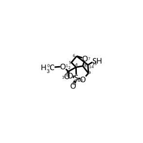 COC(=O)C12CC3OC1C(OS2(=O)=O)C3S